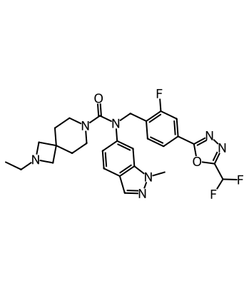 CCN1CC2(CCN(C(=O)N(Cc3ccc(-c4nnc(C(F)F)o4)cc3F)c3ccc4cnn(C)c4c3)CC2)C1